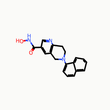 O=C(NO)c1cnc2c(c1)CN(c1cccc3ccccc13)CC2